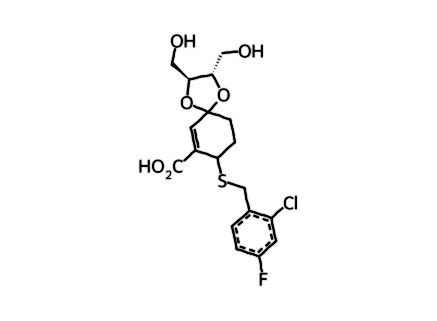 O=C(O)C1=CC2(CCC1SCc1ccc(F)cc1Cl)O[C@@H](CO)[C@H](CO)O2